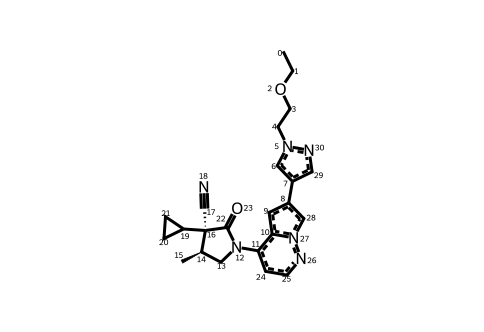 CCOCCn1cc(-c2cc3c(N4C[C@@H](C)[C@@](C#N)(C5CC5)C4=O)ccnn3c2)cn1